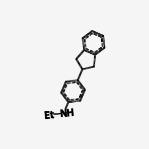 CCNc1ccc(C2Cc3ccccc3C2)cc1